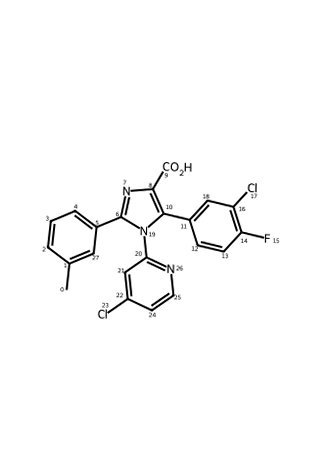 Cc1cccc(-c2nc(C(=O)O)c(-c3ccc(F)c(Cl)c3)n2-c2cc(Cl)ccn2)c1